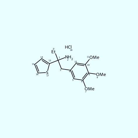 CCC(N)(Cc1cc(OC)c(OC)c(OC)c1)c1cccs1.Cl